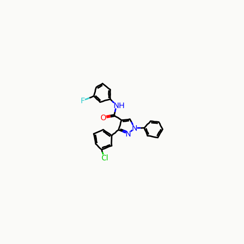 O=C(Nc1cccc(F)c1)c1cn(-c2ccccc2)nc1-c1cccc(Cl)c1